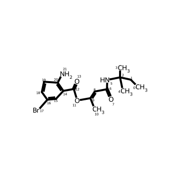 CCC(C)(C)NC(=O)C=C(C)OC(=O)c1cc(Br)ccc1N